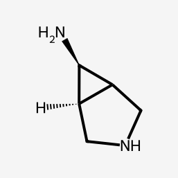 N[C@H]1C2CNC[C@H]21